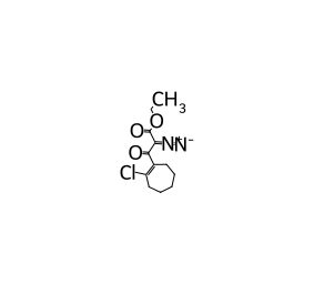 CCOC(=O)C(=[N+]=[N-])C(=O)C1=C(Cl)CCCCC1